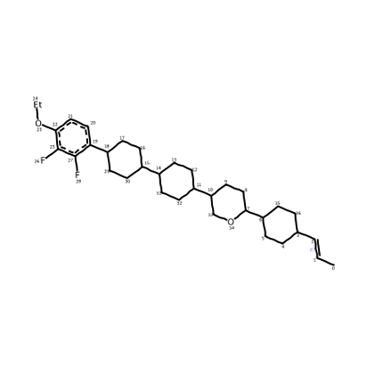 C/C=C/C1CCC(C2CCC(C3CCC(C4CCC(c5ccc(OCC)c(F)c5F)CC4)CC3)CO2)CC1